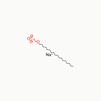 CCCCCCCCCCCCCCCCCCOCCS(=O)(=O)[O-].[Na+]